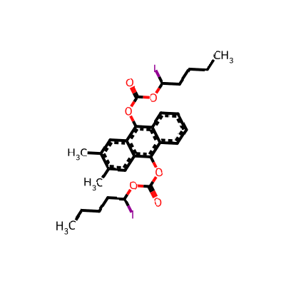 CCCCC(I)OC(=O)Oc1c2ccccc2c(OC(=O)OC(I)CCCC)c2cc(C)c(C)cc12